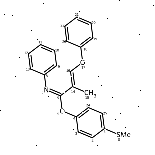 CSc1ccc(OC(=N/c2ccccc2)/C(C)=C/Oc2ccccc2)cc1